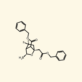 B[C@@H]1O[C@@]2(CC(=O)OCc3ccccc3)CC(F)(F)C1C2C(=O)OCc1ccccc1